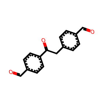 O=Cc1ccc(CC(=O)c2ccc(C=O)cc2)cc1